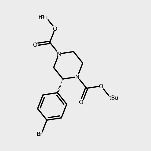 CC(C)(C)OC(=O)N1CCN(C(=O)OC(C)(C)C)[C@H](c2ccc(Br)cc2)C1